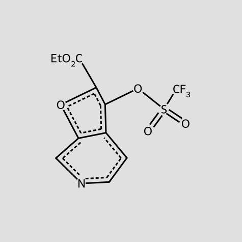 CCOC(=O)c1oc2cnccc2c1OS(=O)(=O)C(F)(F)F